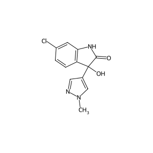 Cn1cc(C2(O)C(=O)Nc3cc(Cl)ccc32)cn1